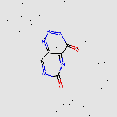 O=C1N=CC2=NN=NC(=O)C2=N1